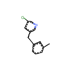 Cc1cccc([CH]c2cncc(Cl)c2)c1